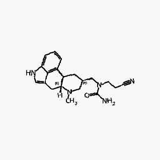 CN1C[C@H](CN(CCC#N)C(N)=O)CC2c3cccc4[nH]cc(c34)C[C@H]21